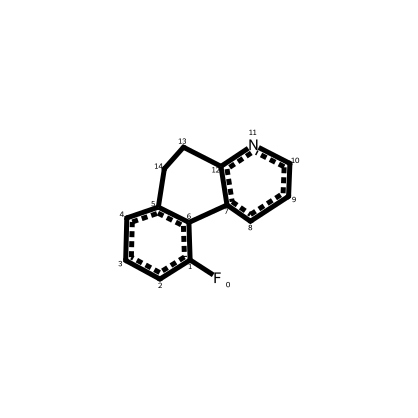 Fc1cccc2c1-c1cccnc1CC2